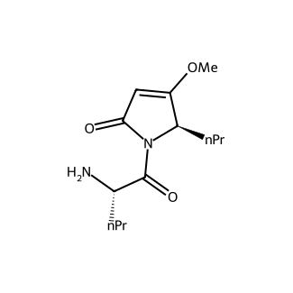 CCC[C@@H]1C(OC)=CC(=O)N1C(=O)[C@@H](N)CCC